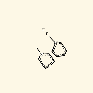 C[n+]1ccccc1.C[n+]1ccccc1.[I-].[I-]